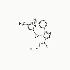 Bc1cccc(-n2ncc(C(=O)OCC)c2[C@@H]2C[C@H]2c2cn(C)nn2)c1